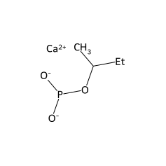 CCC(C)OP([O-])[O-].[Ca+2]